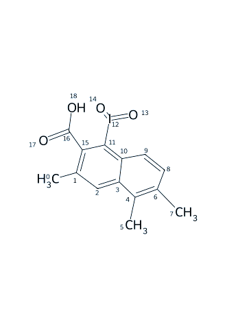 Cc1cc2c(C)c(C)ccc2c(I(=O)=O)c1C(=O)O